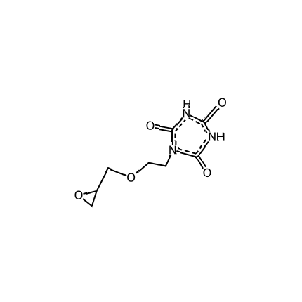 O=c1[nH]c(=O)n(CCOCC2CO2)c(=O)[nH]1